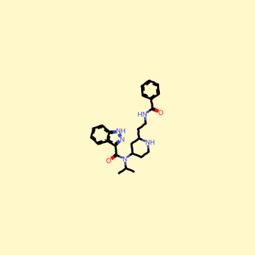 CC(C)N(C(=O)c1n[nH]c2ccccc12)C1CCNC(CCNC(=O)c2ccccc2)C1